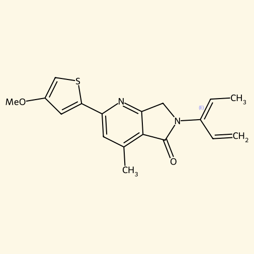 C=C/C(=C\C)N1Cc2nc(-c3cc(OC)cs3)cc(C)c2C1=O